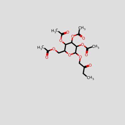 CCC(=O)COC1OC(COC(C)=O)C(OC(C)=O)C(OC(C)=O)C1OC(C)=O